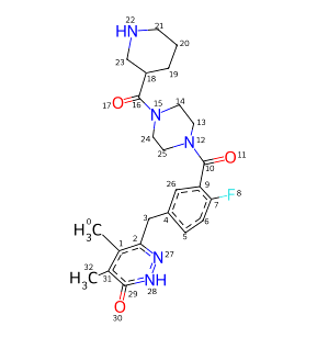 Cc1c(Cc2ccc(F)c(C(=O)N3CCN(C(=O)C4CCCNC4)CC3)c2)n[nH]c(=O)c1C